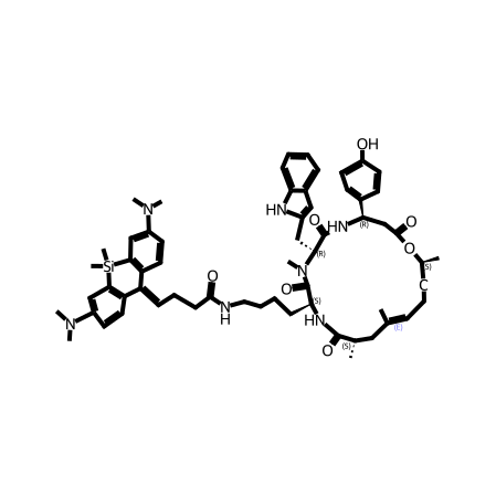 C/C1=C\CC[C@H](C)OC(=O)C[C@H](c2ccc(O)cc2)NC(=O)[C@@H](Cc2cc3ccccc3[nH]2)N(C)C(=O)[C@H](CCCCNC(=O)CCC=C2c3ccc(N(C)C)cc3[Si](C)(C)c3cc(N(C)C)ccc32)NC(=O)[C@@H](C)C1